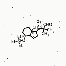 CC[Si](CC)(CC)O[C@H]1CCC[C@@]2(C)C1CCC2[C@H](C)C(C)(C)C=O